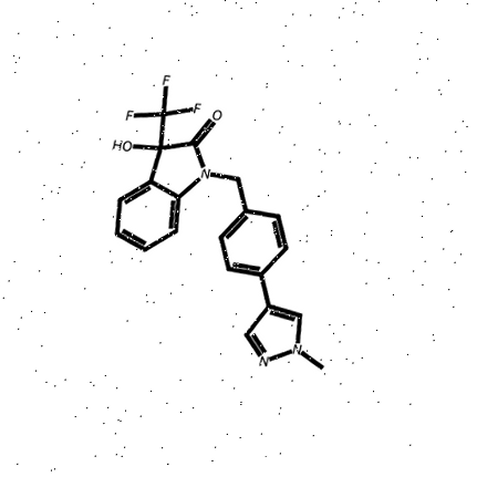 Cn1cc(-c2ccc(CN3C(=O)C(O)(C(F)(F)F)c4ccccc43)cc2)cn1